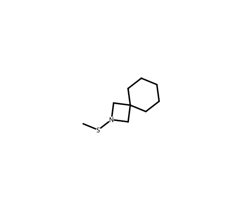 CSN1CC2(CCCCC2)C1